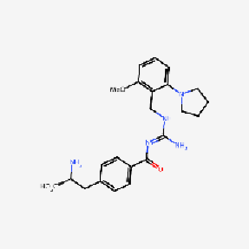 COc1cccc(N2CCCC2)c1CN/C(N)=N/C(=O)c1ccc(C[C@H](N)C(=O)O)cc1